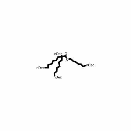 CCCCCCCCCCCCCCCCOC(=O)C(CCCCCCCCCC)(CCCCCCCCCCCCCCCC)CCCCCCCCCCCCCCCC